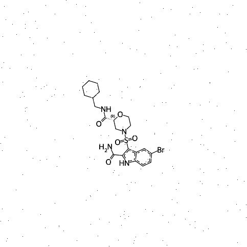 NC(=O)c1[nH]c2ccc(Br)cc2c1S(=O)(=O)N1CCO[C@@H](C(=O)NCC2CCCCC2)C1